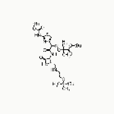 CC(C)(C)OC(=O)Nc1nc(C(=NOC(C)(C)C(=O)OC(C)(C)C)C(=O)N[C@@H]2C(=O)N[C@H]2CNCCO[Si](C)(C)C(C)(C)C)cs1